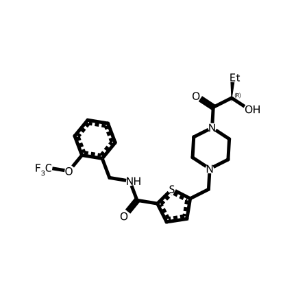 CC[C@@H](O)C(=O)N1CCN(Cc2ccc(C(=O)NCc3ccccc3OC(F)(F)F)s2)CC1